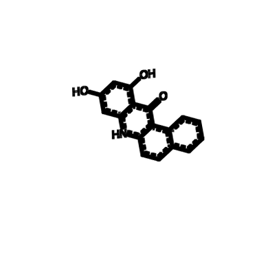 O=c1c2c(O)cc(O)cc2[nH]c2ccc3ccccc3c12